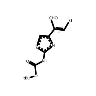 CC/C=C(\C=O)c1csc(NC(=O)OC(C)(C)C)n1